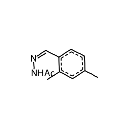 CC(=O)N/N=C\c1ccc(C)cc1C